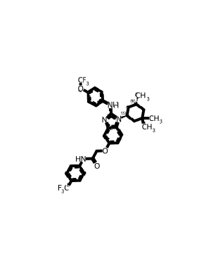 C[C@H]1C[C@H](n2c(Nc3ccc(OC(F)(F)F)cc3)nc3cc(OCC(=O)Nc4ccc(C(F)(F)F)cc4)ccc32)CC(C)(C)C1